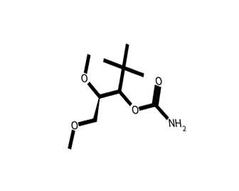 COC[C@@H](OC)C(OC(N)=O)C(C)(C)C